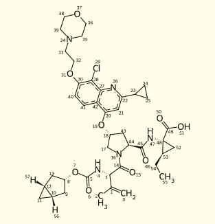 C=C(C)[C@H](NC(=O)O[C@@H]1C[C@@H]2C[C@@H]2C1)C(=O)N1C[C@H](Oc2cc(C3CC3)nc3c(Cl)c(OCCN4CCOCC4)ccc23)C[C@H]1C(=O)N[C@]1(C(=O)O)C[C@H]1CC